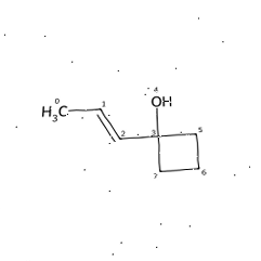 C/C=C/C1(O)CCC1